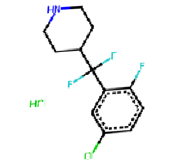 Cl.Fc1ccc(Cl)cc1C(F)(F)C1CCNCC1